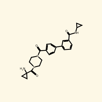 NC1(C(=O)N2CCN(C(=O)c3ccc(-c4cccc(C(=O)NC5CC5)c4)cc3)CC2)CC1